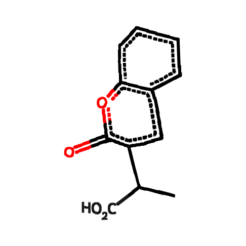 CC(C(=O)O)c1cc2ccccc2oc1=O